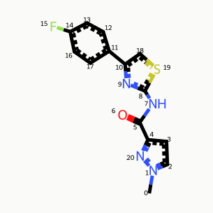 Cn1ccc(C(=O)Nc2nc(-c3ccc(F)cc3)cs2)n1